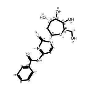 O=C(Nc1ccn([C@@H]2C[C@H](O)[C@@H](O)[C@@H](O)[C@@H](CO)O2)c(=O)n1)c1ccccc1